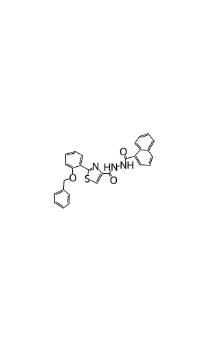 O=C(NNC(=O)c1cccc2ccccc12)c1csc(-c2ccccc2OCc2ccccc2)n1